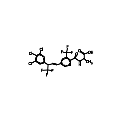 CC(NC(=O)c1ccc(C=CC(c2cc(Cl)c(Cl)c(Cl)c2)C(F)(F)F)cc1C(F)(F)F)C(=O)O